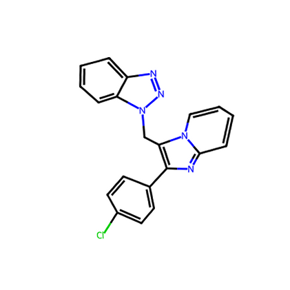 Clc1ccc(-c2nc3ccccn3c2Cn2nnc3ccccc32)cc1